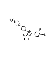 CN1CCN(c2ccc(-n3nc(-c4ccc(C#N)c(F)c4)cc3C(=O)O)cc2F)CC1